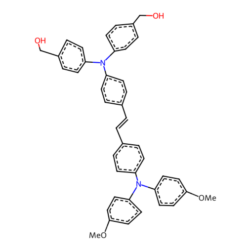 COc1ccc(N(c2ccc(C=Cc3ccc(N(c4ccc(CO)cc4)c4ccc(CO)cc4)cc3)cc2)c2ccc(OC)cc2)cc1